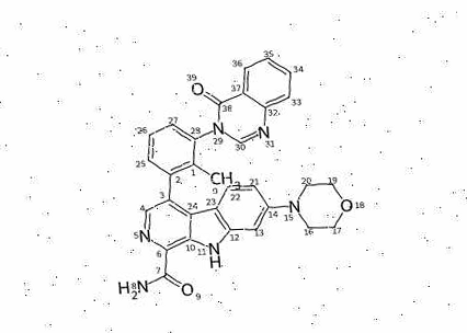 Cc1c(-c2cnc(C(N)=O)c3[nH]c4cc(N5CCOCC5)ccc4c23)cccc1-n1cnc2ccccc2c1=O